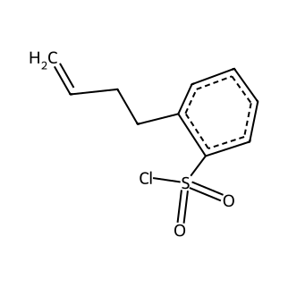 C=CCCc1ccccc1S(=O)(=O)Cl